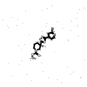 CC(C)(C)OC(=O)N1CCC[C@](F)(c2nnc(-c3ccnc(Br)c3)o2)C1